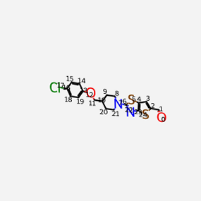 O=Cc1cc2sc(N3CCC(COc4ccc(Cl)cc4)CC3)nc2s1